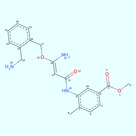 COC(=O)c1ccc(C)c(NC(=O)/C=C(\N)OCc2ccccc2CN)c1